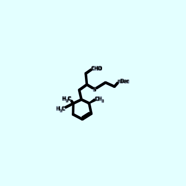 CCCCCCCCCCCCSC(CC=O)CC1[C@@H](C)C=CCC1(C)C